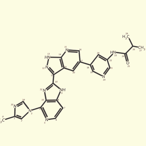 Cc1cn(-c2nccc3[nH]c(-c4n[nH]c5ncc(-c6cncc(NC(=O)C(C)C)c6)cc45)nc23)cn1